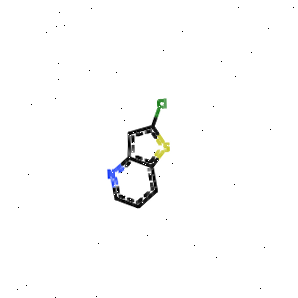 Clc1cc2ncccc2s1